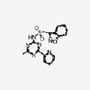 Cc1nc(NS(=O)(=O)Cc2noc3ccccc23)nc(-c2ccccn2)n1